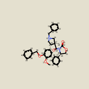 COc1ccc([C@@H]2CN(Cc3ccccc3)C[C@@]2(C)C(=O)N2C(=O)OC[C@H]2c2ccccc2)cc1OCc1ccccc1